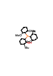 COc1cccc(OC)c1P(c1cccc(C(C)(C)C)c1O)c1c(OC)cccc1C(C)C